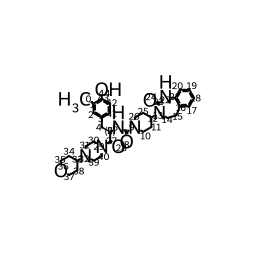 Cc1cc(C[C@@H](NC(=O)N2CCC(N3CCc4ccccc4NC3=O)CC2)C(=O)N2CCN(C3CCOCC3)CC2)ccc1O